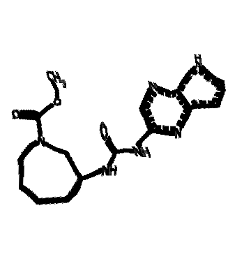 COC(=O)N1CCCCC(NC(=O)Nc2cnc3[nH]ccc3n2)C1